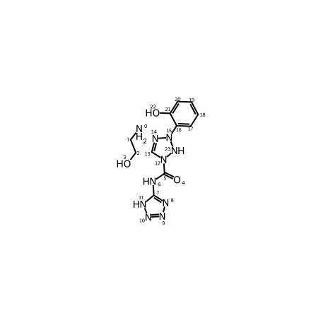 NCCO.O=C(Nc1nnn[nH]1)N1C=NN(c2ccccc2O)N1